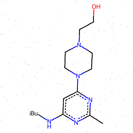 CCC(C)Nc1cc(N2CCN(CCO)CC2)nc(C)n1